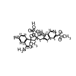 CC(C)(C[C@](Cc1cc2cc(S(C)(=O)=O)ncc2[nH]1)(OP(=O)(O)O)C(F)(F)F)c1ccc(F)cc1C(N)=O